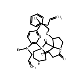 C=CCN(CC)c1ccc(N(CC)CC=C)c([N+]2(C(=O)C34C(=O)CC(=O)N3CCC4OCc3ccccc3)CCNCC2)n1